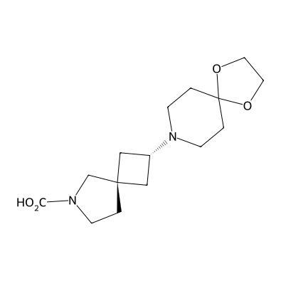 O=C(O)N1CC[C@]2(C1)C[C@@H](N1CCC3(CC1)OCCO3)C2